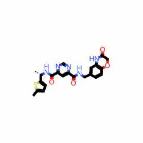 Cc1ccc([C@H](C)NC(=O)c2cc(C(=O)NCc3ccc4c(c3)NC(=O)CO4)ncn2)s1